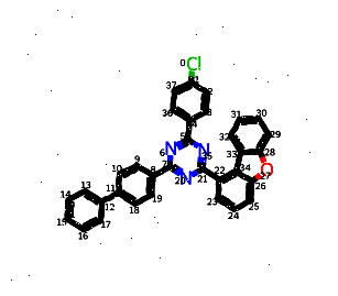 Clc1ccc(-c2nc(-c3ccc(-c4ccccc4)cc3)nc(-c3cccc4oc5ccccc5c34)n2)cc1